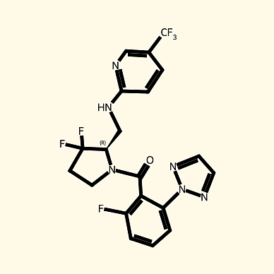 O=C(c1c(F)cccc1-n1nccn1)N1CCC(F)(F)[C@H]1CNc1ccc(C(F)(F)F)cn1